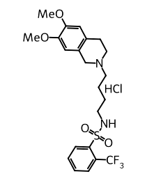 COc1cc2c(cc1OC)CN(CCCCNS(=O)(=O)c1ccccc1C(F)(F)F)CC2.Cl